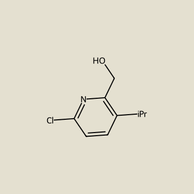 CC(C)c1ccc(Cl)nc1CO